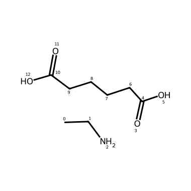 CCN.O=C(O)CCCCC(=O)O